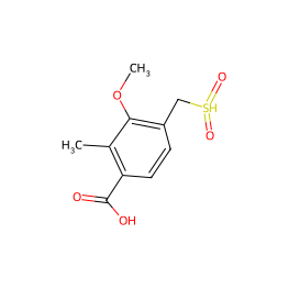 COc1c(C[SH](=O)=O)ccc(C(=O)O)c1C